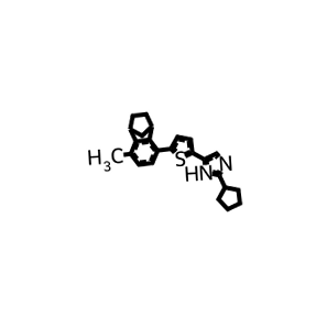 Cc1ccc(-c2ccc(-c3cnc(C4CCCC4)[nH]3)s2)c2c1C1CCC2C1